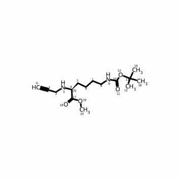 C#CCN[C@@H](CCCCNC(=O)OC(C)(C)C)C(=O)OC